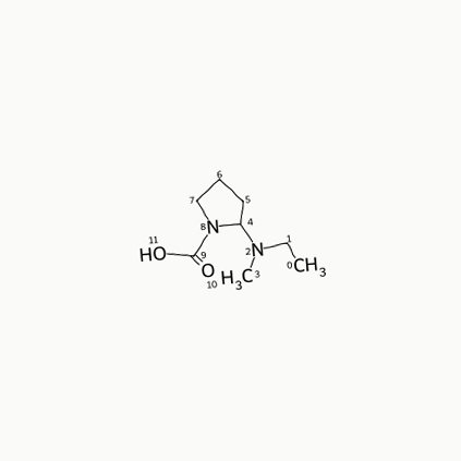 CCN(C)C1CCCN1C(=O)O